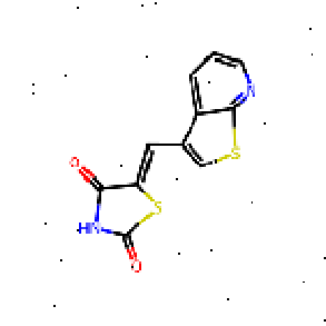 O=C1NC(=O)/C(=C/c2csc3ncccc23)S1